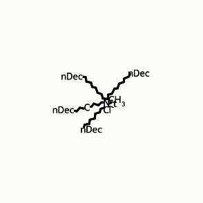 CCCCCCCCCCCCCCCCCCC(C)(CCCCCCCCCCCCCCCCCC)[N+](CC)(CCCCCCCCCCCCCCCCCC)CCCCCCCCCCCCCCCCCC.[Cl-]